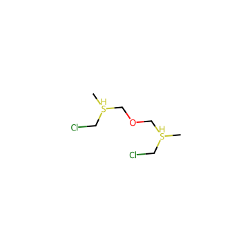 C[SH](CCl)COC[SH](C)CCl